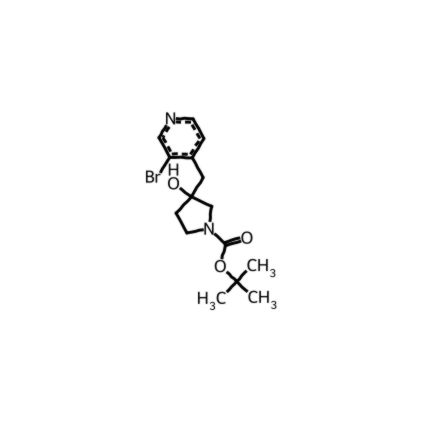 CC(C)(C)OC(=O)N1CCC(O)(Cc2ccncc2Br)C1